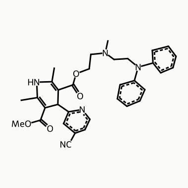 COC(=O)C1=C(C)NC(C)=C(C(=O)OCCN(C)CCN(c2ccccc2)c2ccccc2)C1c1cc(C#N)ccn1